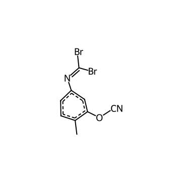 Cc1ccc(N=C(Br)Br)cc1OC#N